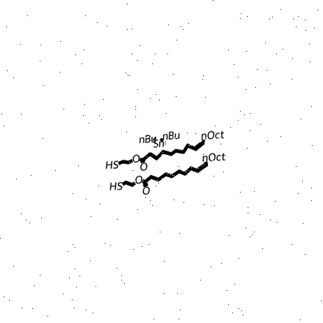 CCCCCCCC/C=C\CCCCCCCC(=O)OCCS.CCCCCCCC/C=C\CCCCCCCC(=O)OCCS.CCC[CH2][Sn][CH2]CCC